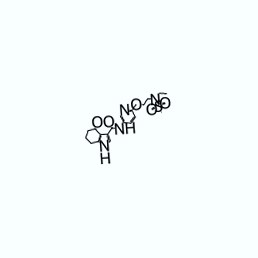 CCN(CCOc1ccc(NC(=O)c2c[nH]c3c2C(=O)CCC3)cn1)S(C)(=O)=O